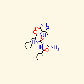 CC(C)C[C@@H](C)C(=O)N[C@@H](CCN)C(=O)N[C@@H](CC1CCCCC1)C(=O)N[C@H](C(N)=O)C(C)C